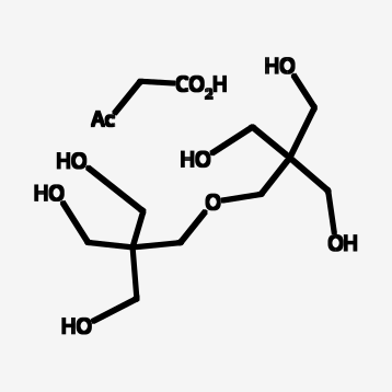 CC(=O)CC(=O)O.OCC(CO)(CO)COCC(CO)(CO)CO